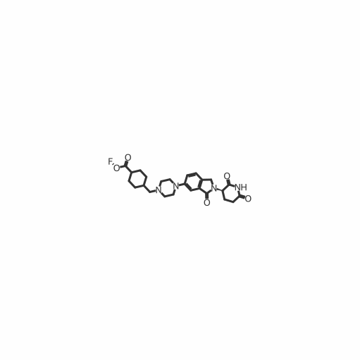 O=C1CC[C@@H](N2Cc3ccc(N4CCN(CC5CCC(C(=O)OF)CC5)CC4)cc3C2=O)C(=O)N1